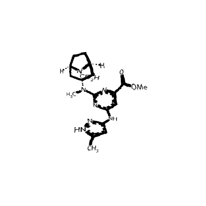 COC(=O)c1cc(Nc2cc(C)[nH]n2)nc(N(C)[C@@H]2C[C@H]3CC[C@@H](C2)N3C(=O)O)n1